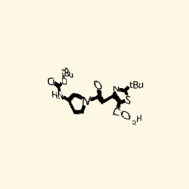 CC(C)(C)OC(=O)NC1CCN(C(=O)Cc2nc(C(C)(C)C)sc2C(=O)O)C1